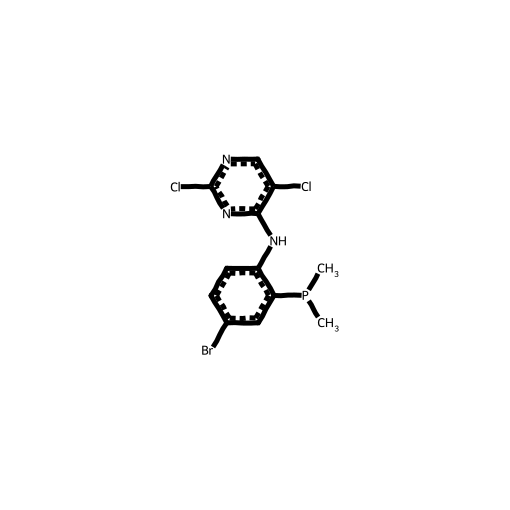 CP(C)c1cc(Br)ccc1Nc1nc(Cl)ncc1Cl